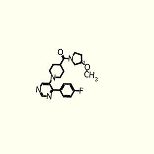 CO[C@@H]1CCN(C(=O)C2CCN(c3cncnc3-c3ccc(F)cc3)CC2)C1